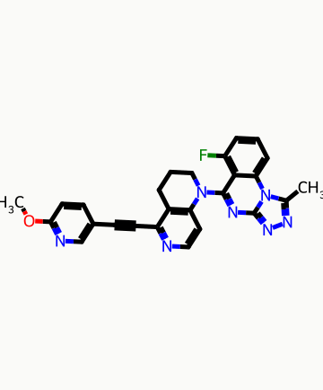 COc1ccc(C#Cc2nccc3c2CCCN3c2nc3nnc(C)n3c3cccc(F)c23)cn1